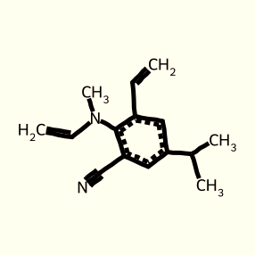 C=Cc1cc(C(C)C)cc(C#N)c1N(C)C=C